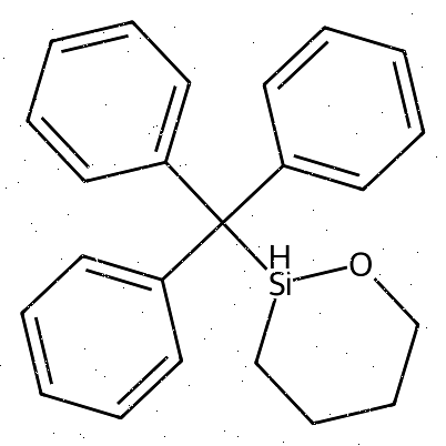 c1ccc(C(c2ccccc2)(c2ccccc2)[SiH]2CCCCO2)cc1